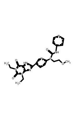 CCn1c(=O)c2[nH]c(-c3ccc(N(CCOC)C(=O)Nc4ccncc4)nc3)nc2n(CC)c1=O